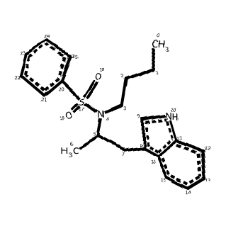 CCCCN(C(C)Cc1c[nH]c2ccccc12)S(=O)(=O)c1ccccc1